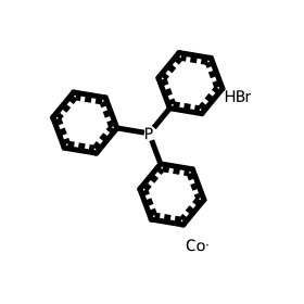 Br.[Co].c1ccc(P(c2ccccc2)c2ccccc2)cc1